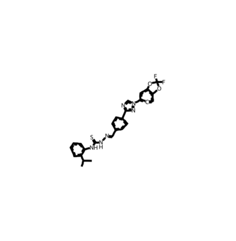 CC(C)c1ccccc1NC(=S)N/N=C/c1ccc(-c2ncn(-c3ccc4c(c3)OC(F)(F)O4)n2)cc1